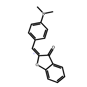 CN(C)c1ccc(/C=C2/Oc3ccccc3C2=O)cc1